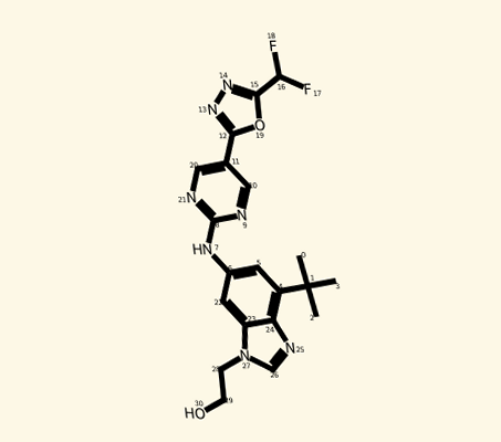 CC(C)(C)c1cc(Nc2ncc(-c3nnc(C(F)F)o3)cn2)cc2c1ncn2CCO